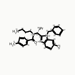 Cc1ccc(C(=O)N(CCCN)[C@@H](c2nc3ccc(Cl)cc3n2Cc2ccccc2)C(C)C)cc1